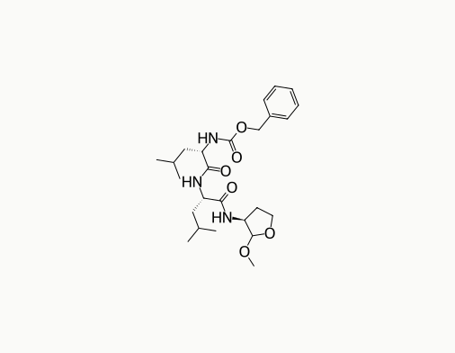 COC1OCC[C@@H]1NC(=O)[C@H](CC(C)C)NC(=O)[C@H](CC(C)C)NC(=O)OCc1ccccc1